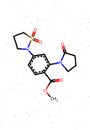 COC(=O)c1ccc(N2CCCS2(=O)=O)cc1N1CCCC1=O